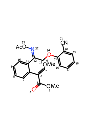 CO/C=C(/C(=O)OC)c1ccccc1/C(COc1ccccc1C#N)=N\OC(C)=O